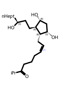 CCCCCCC[C@H](O)CC[C@@H]1[C@@H](C/C=C\CCCC(=O)C(C)C)[C@@H](O)C[C@H]1O